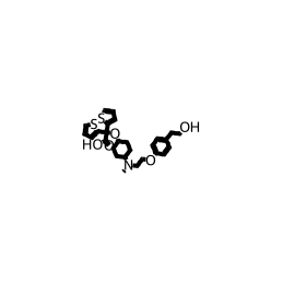 CN(CCOc1ccc(CCO)cc1)C1CCC(OC(C(=O)O)(c2cccs2)c2cccs2)CC1